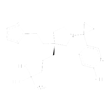 COC(C)(C)CCC[C@@]1(CCc2cccs2)CCN(C2(c3ccc(C)nc3)CC2)C1